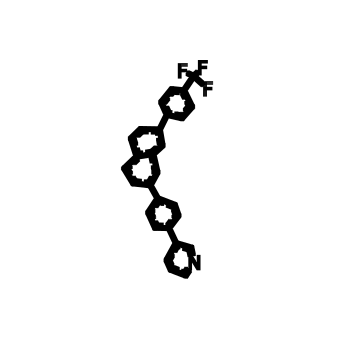 FC(F)(F)c1ccc(-c2ccc3ccc(-c4ccc(-c5cccnc5)cc4)cc3c2)cc1